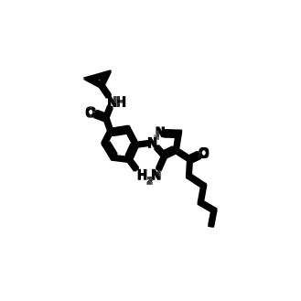 CCCCCC(=O)c1cnn(-c2cc(C(=O)NC3CC3)ccc2C)c1N